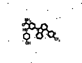 NC(=O)c1ccc(-n2c3ccccc3c3c(-c4ccc(C(F)(F)F)nc4)cccc32)cc1N[C@H]1CC[C@H](O)CC1